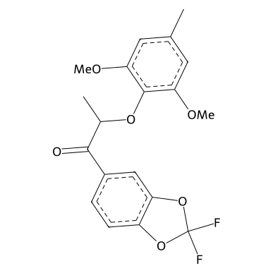 COc1cc(C)cc(OC)c1OC(C)C(=O)c1ccc2c(c1)OC(F)(F)O2